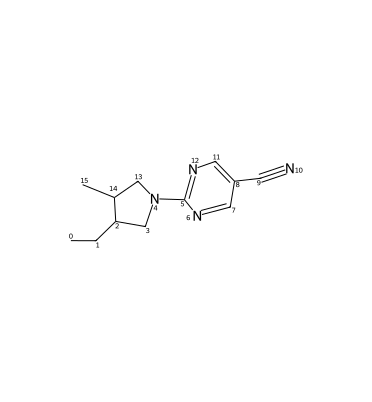 CCC1CN(c2ncc(C#N)cn2)CC1C